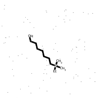 CC[N+](C)(C)CCCCCCCO